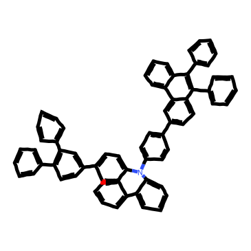 c1ccc(-c2ccc(-c3ccc(N(c4ccc(-c5ccc6c(-c7ccccc7)c(-c7ccccc7)c7ccccc7c6c5)cc4)c4ccccc4-c4ccccc4)cc3)cc2-c2ccccc2)cc1